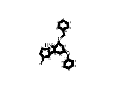 Fc1ccc2[nH]c3c(OCc4ccccc4)cc(Oc4ccccc4)cc3c2c1